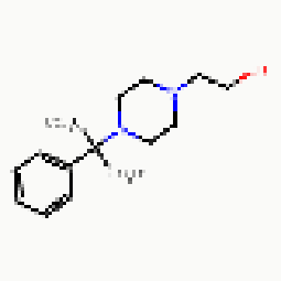 CCOC(=O)C(C(=O)OCC)(c1ccccc1)N1CCN(CCO)CC1